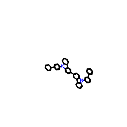 C1=CCCC(c2ccc(N3c4ccc(C5=CC=C6C(C5)C5=C(C=CCC5)N6c5cccc(-c6ccccc6)c5)cc4C4C=CCCC43)cc2)=C1